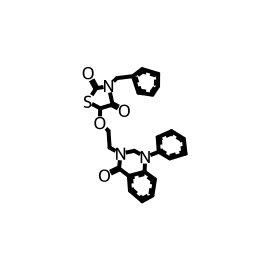 O=C1c2ccccc2N(c2ccccc2)CN1CCOC1SC(=O)N(Cc2ccccc2)C1=O